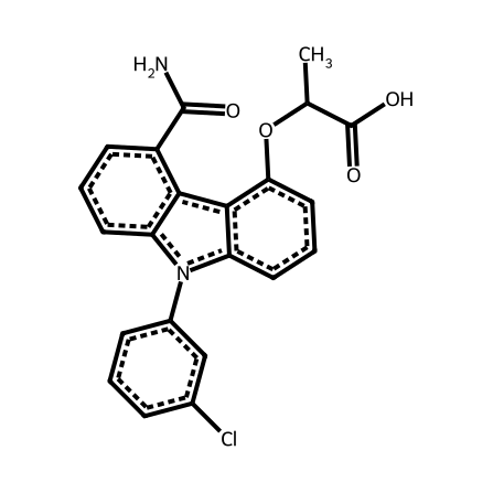 CC(Oc1cccc2c1c1c(C(N)=O)cccc1n2-c1cccc(Cl)c1)C(=O)O